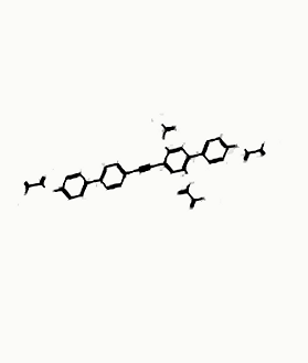 C=C(C)C(=O)Oc1ccc(-c2ccc(C#Cc3cc(OC(=O)C(=C)C)c(-c4ccc(OC(=O)C(=C)C)cc4)cc3OC(=O)C(C)=O)cc2)cc1